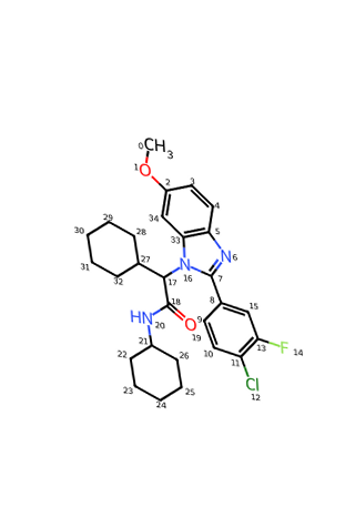 COc1ccc2nc(-c3ccc(Cl)c(F)c3)n(C(C(=O)NC3CCCCC3)C3CCCCC3)c2c1